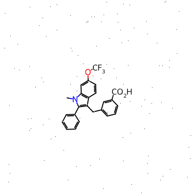 Cn1c(-c2ccccc2)c(Cc2cccc(C(=O)O)c2)c2ccc(OC(F)(F)F)cc21